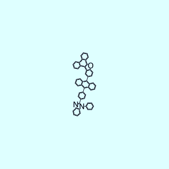 c1ccc(-n2c(-c3ccc(-c4c5ccccc5c(-c5ccc6oc7c8ccccc8c8ccccc8c7c6c5)c5ccccc45)cc3)nc3ccccc32)cc1